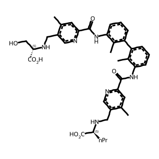 CCC[C@H](NCc1cnc(C(=O)Nc2cccc(-c3cccc(NC(=O)c4cc(C)c(CN[C@@H](CO)C(=O)O)cn4)c3C)c2C)cc1C)C(=O)O